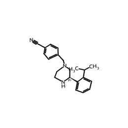 CC(C)c1ccccc1[C@@H]1CN(Cc2ccc(C#N)cc2)CCN1